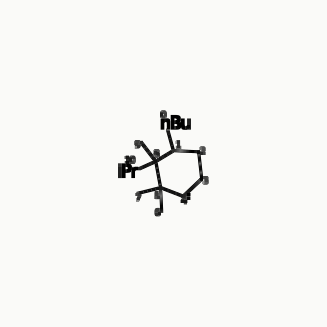 CCCCC1CC[C]C(C)(C)C1(C)C(C)C